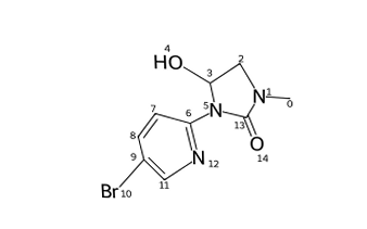 CN1CC(O)N(c2ccc(Br)cn2)C1=O